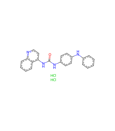 Cl.Cl.O=C(Nc1ccc(Nc2ccccc2)cc1)Nc1ccnc2ccccc12